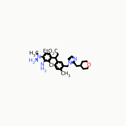 CCOC(=O)CC(c1ccc(C)c(Cn2ccnc2CC2CCOCC2)c1)c1ccc(N(C)N)c(N)c1C